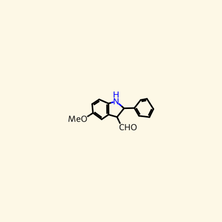 COc1ccc2c(c1)C(C=O)C(c1ccccc1)N2